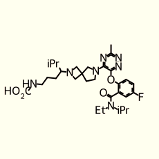 CCN(C(=O)c1cc(F)ccc1Oc1nnc(C)nc1N1CCC2(C1)CN(C(CCCNC(=O)O)C(C)C)C2)C(C)C